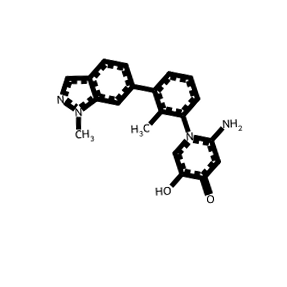 Cc1c(-c2ccc3cnn(C)c3c2)cccc1-n1cc(O)c(=O)cc1N